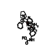 C/C(N)=N/NC(c1ccccc1)C1CC2CCC(C1)N2C(=O)c1cc(-c2nc3cc(NC(=O)OF)ccc3o2)ccn1